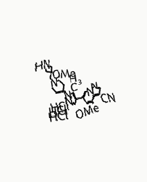 COc1cc(-c2cnn(C3CCN(CC4(OC)CNC4)CC3)c2C)cn2ncc(C#N)c12.Cl.Cl.Cl